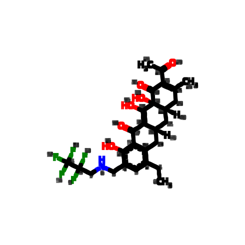 CCc1cc(CNCC(F)(F)C(F)(F)F)c(O)c2c1C[C@H]1C[C@H]3CC(C)=C(C(C)=O)C(=O)[C@@]3(O)C(O)=C1C2=O